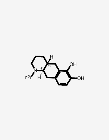 CCCN1CCC[C@@H]2Cc3c(ccc(O)c3O)C[C@H]21